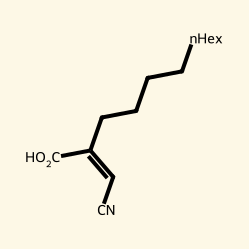 CCCCCCCCCCC(=CC#N)C(=O)O